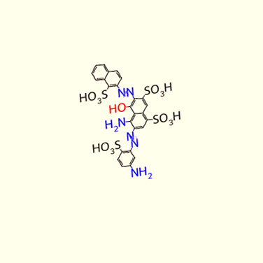 Nc1ccc(S(=O)(=O)O)c(/N=N/c2cc(S(=O)(=O)O)c3cc(S(=O)(=O)O)c(/N=N/c4ccc5ccccc5c4S(=O)(=O)O)c(O)c3c2N)c1